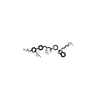 COCCCn1c([C@@H]2CCCN(C(=O)C[C@H](N)Cc3ccc(-c4ccc(OC)nc4OC)cc3)C2)nc2ccccc21